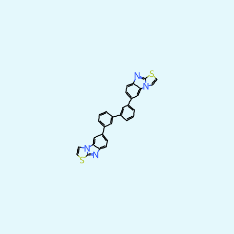 c1cc(-c2cccc(-c3ccc4nc5sccn5c4c3)c2)cc(-c2ccc3nc4sccn4c3c2)c1